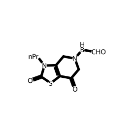 CCCn1c2c(sc1=O)C(=O)CN(BC=O)C2